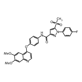 COc1cc2nccc(Oc3ccc(NC(=O)c4cc(S(C)(=O)=O)n(-c5ccc(F)cc5)n4)cc3)c2cc1OC